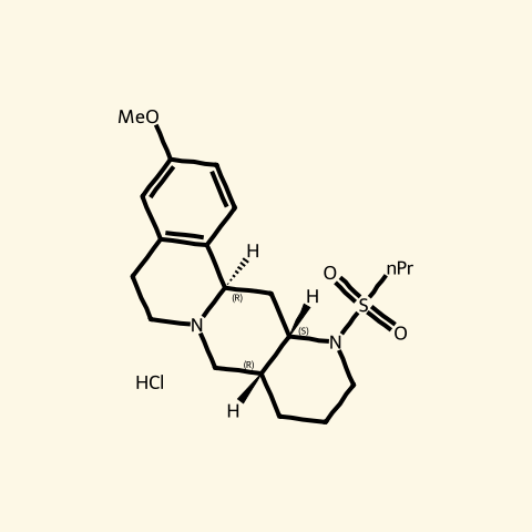 CCCS(=O)(=O)N1CCC[C@@H]2CN3CCc4cc(OC)ccc4[C@H]3C[C@@H]21.Cl